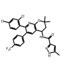 Cc1cc(C(=O)NC2CC(C)(C)Oc3nc(-c4ccc(Cl)cc4Cl)c(-c4ccc(C(F)(F)F)cc4)cc32)n[nH]1